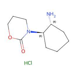 Cl.N[C@@H]1CCCC[C@H]1N1CCCOC1=O